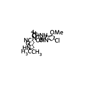 COc1cc(Cl)cc2[nH]c(C(=O)NC(CC3(C)CC3)C(=O)NC(C#N)CC3CC(C)(C)NC3=O)cc12